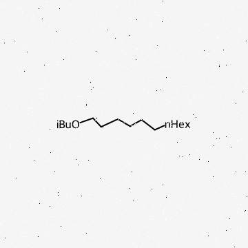 CCCCCCCCCCC[CH]OCC(C)C